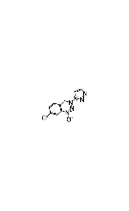 [O-][N+]1=NN(n2ccnn2)Cc2ccc(Cl)cc21